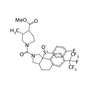 COC(=O)C1CCN(C(=O)N2CC3CCc4cc(C(F)(C(F)(F)F)C(F)(F)F)ccc4C3([S+]([O-])c3ccc(F)cc3)C2)CC1C